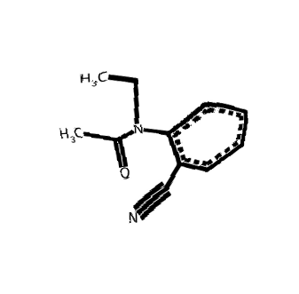 CCN(C(C)=O)c1ccccc1C#N